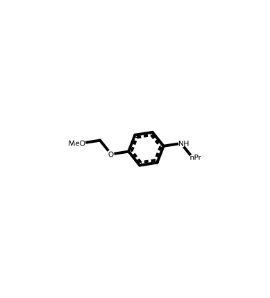 CCCNc1ccc(OCOC)cc1